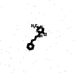 Cc1ncc(Cl)c(NCCCc2ccccc2)n1